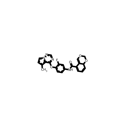 Cc1ccn2ncnc(Oc3ccc(NC(=O)C4=CC=CC5OCOC=C45)cc3F)c12